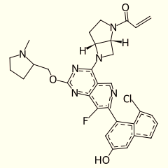 C=CC(=O)N1CC[C@@H]2[C@H]1CN2c1nc(OCC2CCCN2C)nc2c(F)c(-c3cc(O)cc4cccc(Cl)c34)ncc12